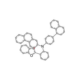 c1ccc(N(c2ccc(-c3cccc4ccccc34)cc2)c2ccc3c(ccc4ccccc43)c2)c(-c2cc3ccccc3o2)c1